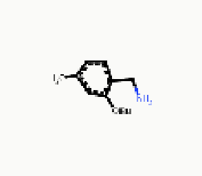 Cc1ccc(CN)c(OCC(C)C)c1